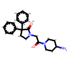 NC1CCN(C(=O)CN2CCC(c3ccccc3)(c3ccccc3)C2=O)CC1